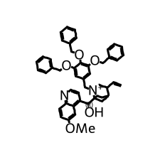 C=CC1C[N+]2(Cc3cc(OCc4ccccc4)c(OCc4ccccc4)c(OCc4ccccc4)c3)CCC1CC2[C@H](O)c1ccnc2ccc(OC)cc12